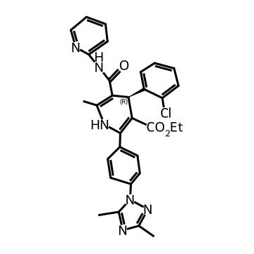 CCOC(=O)C1=C(c2ccc(-n3nc(C)nc3C)cc2)NC(C)=C(C(=O)Nc2ccccn2)[C@H]1c1ccccc1Cl